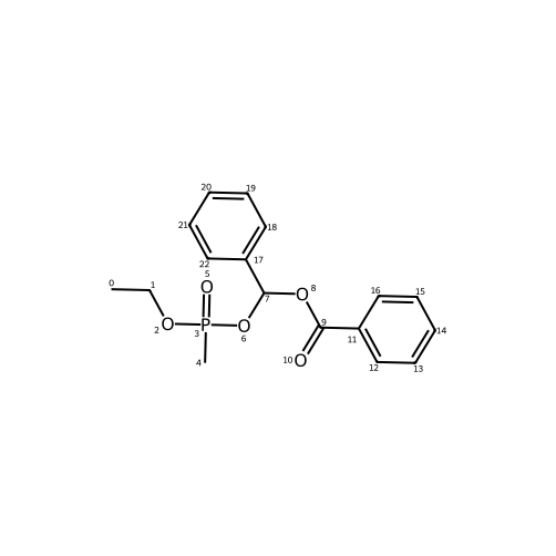 CCOP(C)(=O)OC(OC(=O)c1ccccc1)c1ccccc1